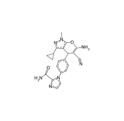 Cn1nc(C2CC2)c2c1OC(N)=C(C#N)C2c1ccc(-n2ccnc2C(N)=O)cc1